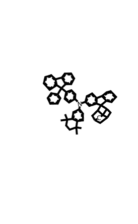 CC1(C)CCC(C)(C)c2cc(N(c3ccc(C4(c5ccccc5)c5ccccc5-c5ccccc54)cc3)c3ccc4c(c3)C3(c5ccccc5-4)C4CC5CC6CC3C64C5)ccc21